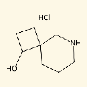 Cl.OC1CCC12CCCNC2